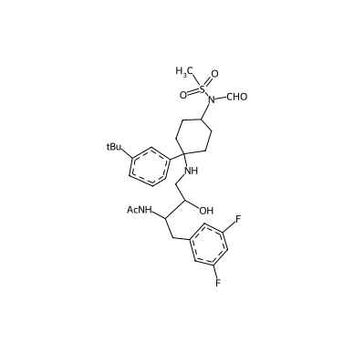 CC(=O)NC(Cc1cc(F)cc(F)c1)C(O)CNC1(c2cccc(C(C)(C)C)c2)CCC(N(C=O)S(C)(=O)=O)CC1